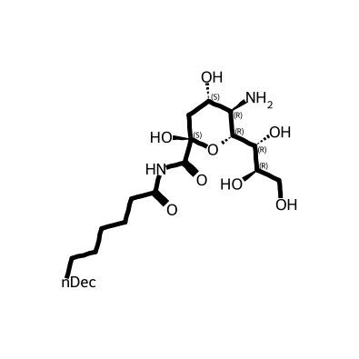 CCCCCCCCCCCCCCCC(=O)NC(=O)[C@]1(O)C[C@H](O)[C@@H](N)[C@H]([C@H](O)[C@H](O)CO)O1